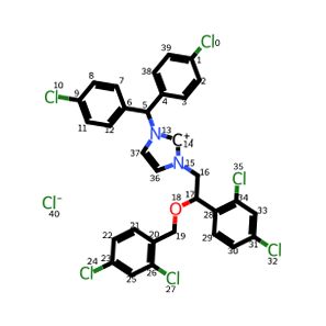 Clc1ccc(C(c2ccc(Cl)cc2)N2[C+]N(CC(OCc3ccc(Cl)cc3Cl)c3ccc(Cl)cc3Cl)C=C2)cc1.[Cl-]